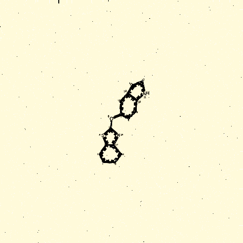 c1ccc2sc(Oc3ccc4[nH]ccc4c3)nc2c1